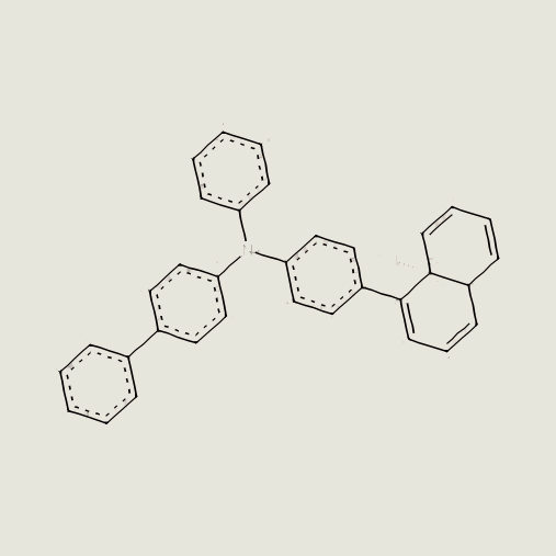 C1=CC2C=CC=C(c3ccc(N(c4ccccc4)c4ccc(-c5ccccc5)cc4)cc3)[C@H]2C=C1